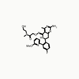 COc1cccc(-c2cc(F)ccc2C2Cc3nc(N)nc(C)c3/C(=N/OCC(=O)N(C)CCO)N2)n1